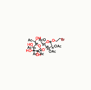 CC(=O)OC[C@H]1O[C@H](OCCBr)[C@H](OC(C)=O)[C@@H](OC(C)=O)[C@@H]1O[C@@H]1O[C@H](C(O)C(C)=O)[C@@](O)(C(C)=O)[C@@](O)(C(C)=O)[C@]1(O)C(C)=O